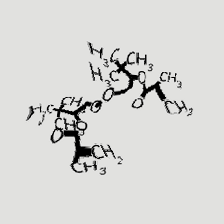 C=C(C)C(=O)OC(COOCC(OC(=O)C(=C)C)C(C)(C)C)C(C)(C)C